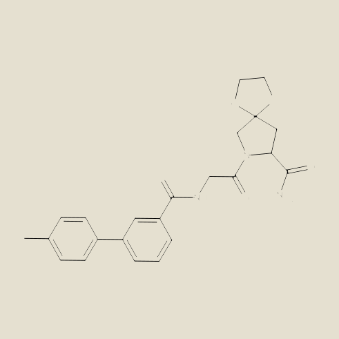 Cc1ccc(-c2cccc(C(=O)NCC(=O)N3CC4(CC3C(N)=O)OCCO4)c2)cc1